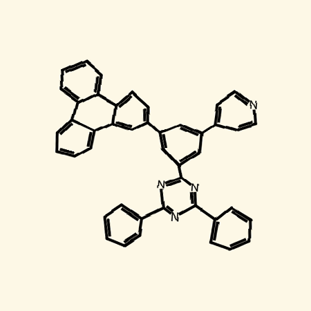 c1ccc(-c2nc(-c3ccccc3)nc(-c3cc(-c4ccncc4)cc(-c4ccc5c6ccccc6c6ccccc6c5c4)c3)n2)cc1